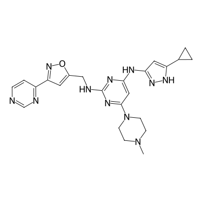 CN1CCN(c2cc(Nc3cc(C4CC4)[nH]n3)nc(NCc3cc(-c4ccncn4)no3)n2)CC1